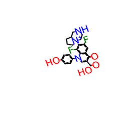 O=C(O)c1cn(-c2ccc(O)cc2)c2c(F)c([N+]34CCCC3CNCC4)c(F)cc2c1=O